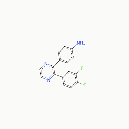 Nc1ccc(-c2nccnc2-c2ccc(F)c(F)c2)cc1